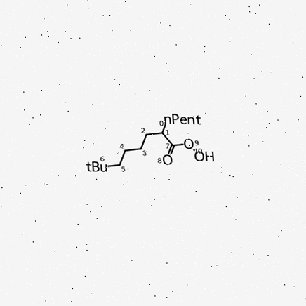 CCCCCC(CCCCC(C)(C)C)C(=O)OO